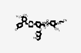 Cc1cc(S(=O)(=O)NC(=O)c2ccc(N3CCN(CC4=C(c5ccc(Cl)cc5)CC(C)(C)CC4)CC3)cc2Oc2cnc3[nH]ccc3c2)ccc1NCCC#N